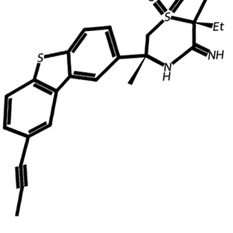 CC#Cc1ccc2sc3ccc([C@]4(C)CS(=O)(=O)[C@@](C)(CC)C(=N)N4)cc3c2c1